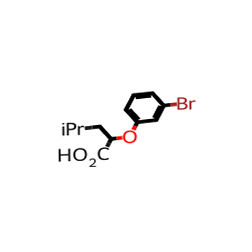 CC(C)CC(Oc1cccc(Br)c1)C(=O)O